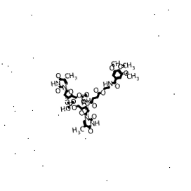 COc1cc(C(=O)NCCOC(=O)CCC(=O)O[C@@H]2C[C@H](n3cc(C)c(=O)[nH]c3=O)OC2COP(=O)(O)O[C@@H]2C[C@H](n3cc(C)c(=O)[nH]c3=O)OC2CO[PH](=O)O)cc(OC)c1OC